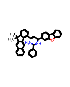 CC1(C)c2cc3ccccc3cc2-c2c(/C=C/C(NC(N)c3ccccc3)c3ccc4c(c3)oc3ccccc34)cccc21